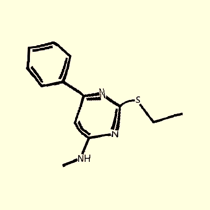 CCSc1nc(NC)cc(-c2ccccc2)n1